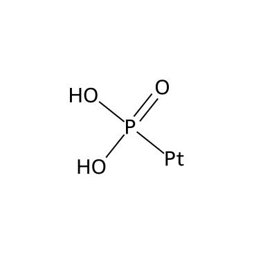 O=[P](O)(O)[Pt]